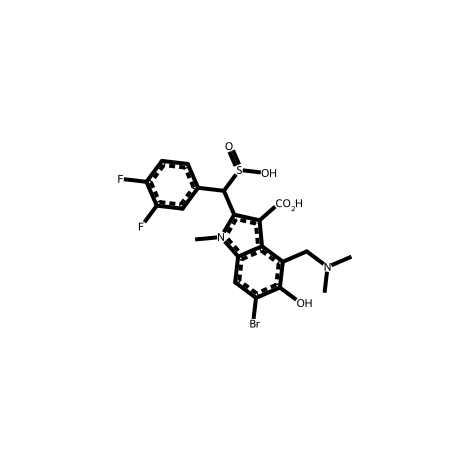 CN(C)Cc1c(O)c(Br)cc2c1c(C(=O)O)c(C(c1ccc(F)c(F)c1)S(=O)O)n2C